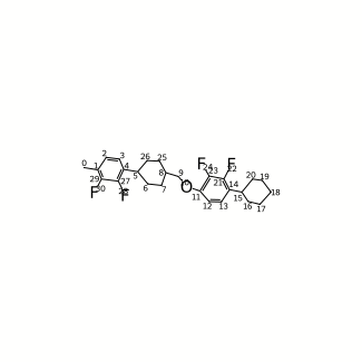 Cc1ccc(C2CCC(COc3ccc(C4CCCCC4)c(F)c3F)CC2)c(F)c1F